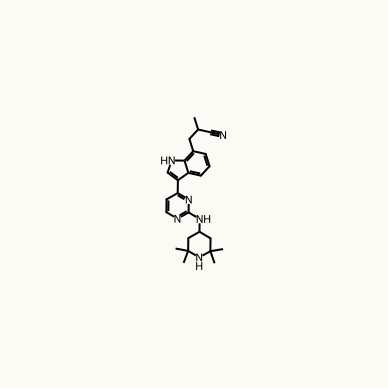 CC(C#N)Cc1cccc2c(-c3ccnc(NC4CC(C)(C)NC(C)(C)C4)n3)c[nH]c12